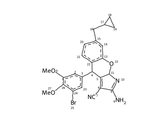 COc1cc(C2C3=C(C#N)C(N)=NC3Oc3cc(CC4CC4)ccc32)cc(Br)c1OC